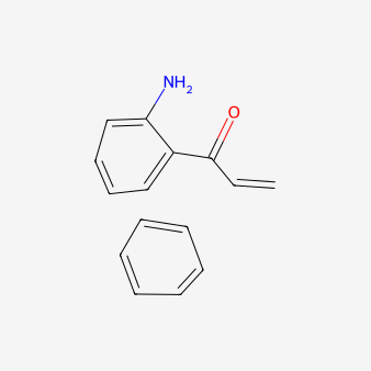 C=CC(=O)c1ccccc1N.c1ccccc1